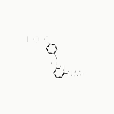 CNc1cccc(OCc2ccc(C(=O)O)cc2)n1